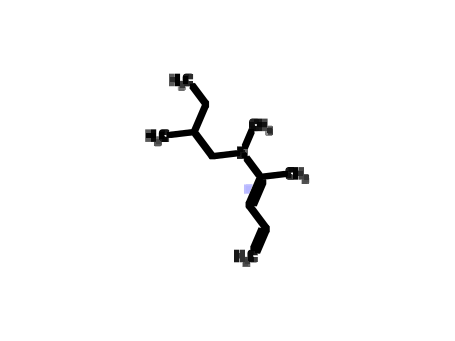 C=C/C=C(\C)N(C)CC(C)CC